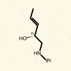 CC=C[C@@H](O)CNC(C)C